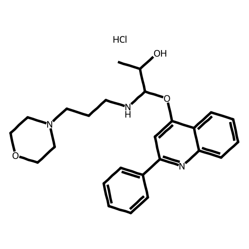 CC(O)C(NCCCN1CCOCC1)Oc1cc(-c2ccccc2)nc2ccccc12.Cl